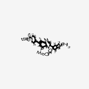 COCOc1c(-c2cnc3cc(C4CCN(C(=O)OC(C)(C)C)CC4)cc(F)c3n2)cc2cn(C)nc2c1F